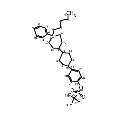 CCCCC[Si]1(c2ccccc2)CCC(C2CCC(c3ccc(OS(=O)(=O)C(F)(F)F)cc3)CC2)CC1